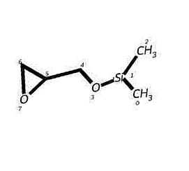 C[Si](C)OCC1CO1